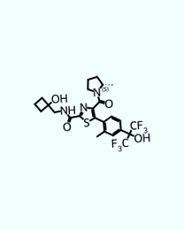 Cc1cc(C(O)(C(F)(F)F)C(F)(F)F)ccc1-c1sc(C(=O)NCC2(O)CCC2)nc1C(=O)N1CCC[C@@H]1C